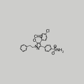 NS(=O)(=O)c1ccc(-c2nn(CCc3ccccc3)c(OC=O)c2-c2ccc(Cl)cc2)cc1